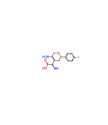 N=C(C(=O)O)C1=C(N)COC(c2ccc(F)cc2)C1